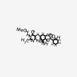 CCCCc1nc(C)n(CCOC)c(=O)c1Cc1cc(CCC)c(OC(C(=O)O)c2ccccc2)c(CCC)c1